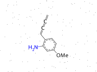 C=C=C=Cc1ccc(OC)cc1N